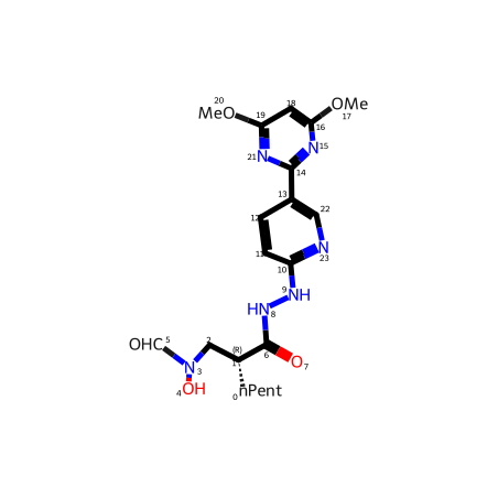 CCCCC[C@H](CN(O)C=O)C(=O)NNc1ccc(-c2nc(OC)cc(OC)n2)cn1